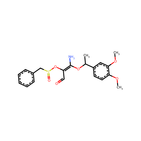 COc1ccc(C(C)O/C(N)=C(\C=O)OS(=O)Cc2ccccc2)cc1OC